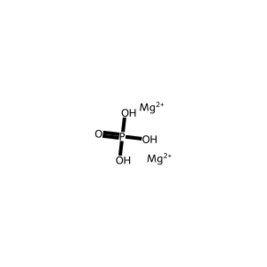 O=P(O)(O)O.[Mg+2].[Mg+2]